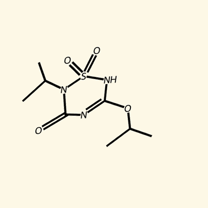 CC(C)OC1=NC(=O)N(C(C)C)S(=O)(=O)N1